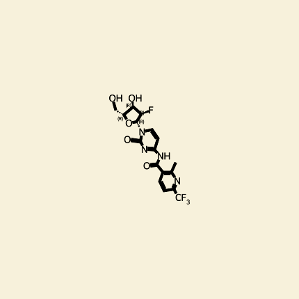 Cc1nc(C(F)(F)F)ccc1C(=O)Nc1ccn([C@@H]2O[C@H](CO)[C@@H](O)[C@H]2F)c(=O)n1